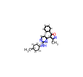 Cc1noc(-c2ccccc2)c1-c1ccnc(NC2CCC(C)CC2)n1